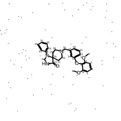 COc1cccc(OC)c1Oc1cccc(CN2CCC3(CC2)C(=O)NCN3c2ccccc2)c1